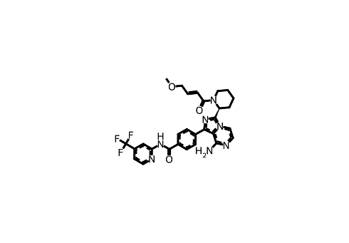 COC/C=C/C(=O)N1CCCC[C@H]1c1nc(-c2ccc(C(=O)Nc3cc(C(F)(F)F)ccn3)cc2)c2c(N)nccn12